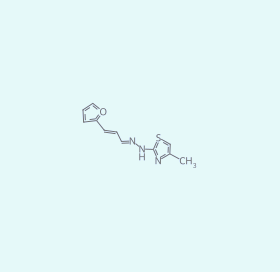 Cc1csc(NN=CC=Cc2ccco2)n1